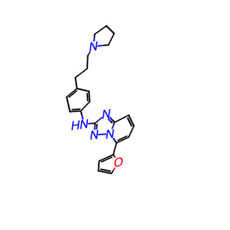 c1coc(-c2cccc3nc(Nc4ccc(CCCN5CCCC5)cc4)nn23)c1